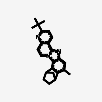 Cc1cc2nc3c4ccc(C(C)(C)C)nc4ccn3c2c2c1C1CCC2C1